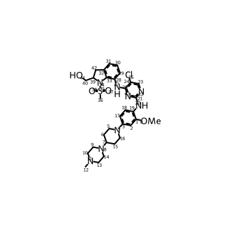 COc1cc(N2CCC(N3CCN(C)CC3)CC2)ccc1Nc1ncc(Cl)c(Nc2cccc3c2N(S(C)(=O)=O)C(CO)C3)n1